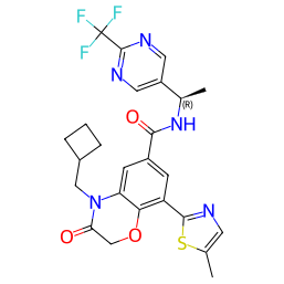 Cc1cnc(-c2cc(C(=O)N[C@H](C)c3cnc(C(F)(F)F)nc3)cc3c2OCC(=O)N3CC2CCC2)s1